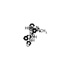 CCn1cnc2c(N3CCCCS3(O)O)cc(C(=O)N[C@@H](Cc3ccccc3)[C@@H](O)CNC3CCOCC3)cc21